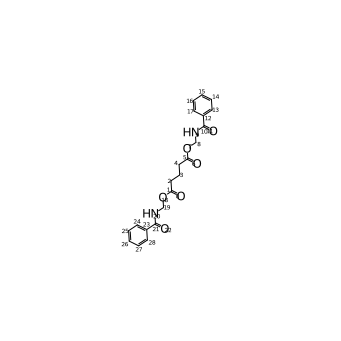 O=C(CCCC(=O)OCNC(=O)c1ccccc1)OCNC(=O)c1ccccc1